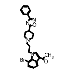 CC(=O)c1cn(CCCN2CCC(c3nc(-c4ccccc4)no3)CC2)c2c(Br)cccc12